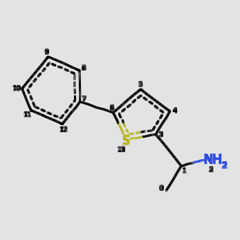 CC(N)c1ccc(-c2ccccc2)s1